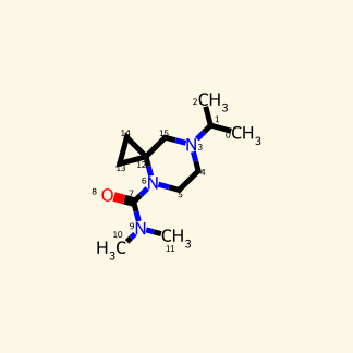 CC(C)N1CCN(C(=O)N(C)C)C2(CC2)C1